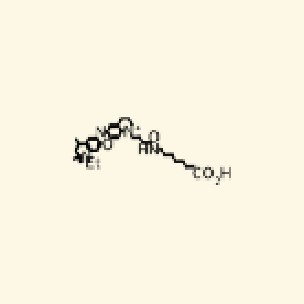 CCN1c2cc3c(cc2C(C)CC1(C)C)N=c1cc2c(cc1O3)=[N+](CCCC(=O)NCCCCCCCC(=O)O)CCC2